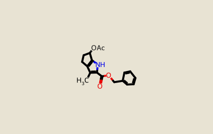 CC(=O)OC1CCc2c1[nH]c(C(=O)OCc1ccccc1)c2C